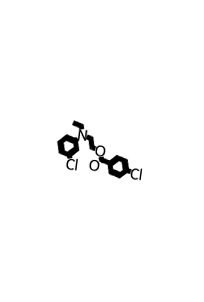 CCN(CCOC(=O)c1ccc(Cl)cc1)c1cccc(Cl)c1